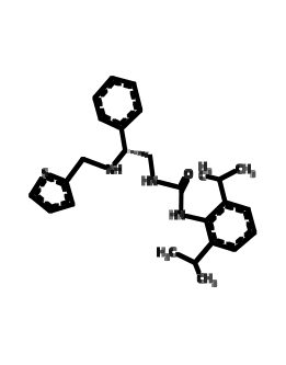 CC(C)c1cccc(C(C)C)c1NC(=O)NC[C@H](NCc1cccs1)c1ccccc1